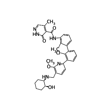 COc1nc(-c2cccc(-c3cccc(NC(=O)c4c(C)cn[nH]c4=O)c3C)c2Cl)ccc1CN[C@@H]1CCCC[C@@H]1O